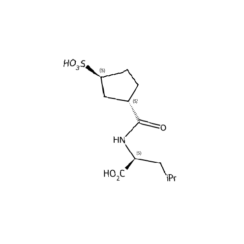 CC(C)C[C@H](NC(=O)[C@H]1CC[C@H](S(=O)(=O)O)C1)C(=O)O